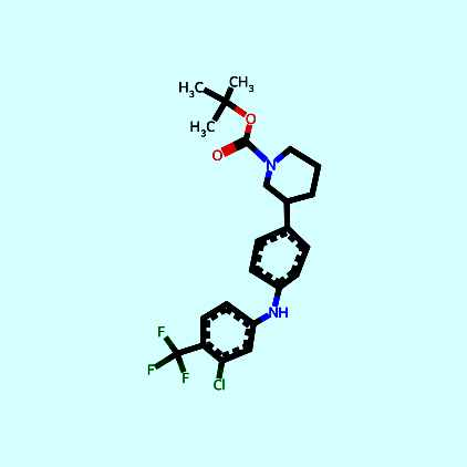 CC(C)(C)OC(=O)N1CCCC(c2ccc(Nc3ccc(C(F)(F)F)c(Cl)c3)cc2)C1